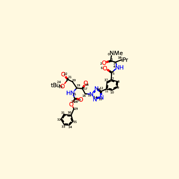 CNC(=O)C(NC(=O)c1cccc(-c2nnn(CC(=O)C(CC(=O)OC(C)(C)C)NC(=O)OCc3ccccc3)n2)c1)C(C)C